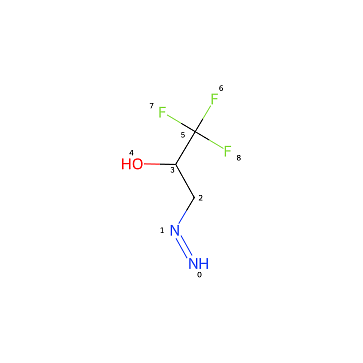 N=NCC(O)C(F)(F)F